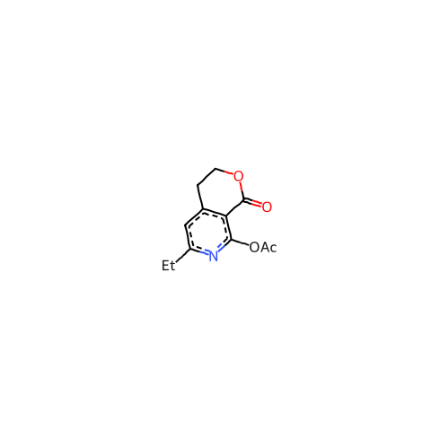 CCc1cc2c(c(OC(C)=O)n1)C(=O)OCC2